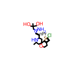 CCC/C(=C\N(N)CC(C)(CO)CO)C1CC2(CC(C)N1)OCCc1cc(Cl)sc12